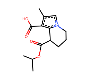 Cc1cn2c(c1C(=O)O)C(C(=O)OC(C)C)CCC2